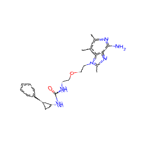 Cc1nc(N)c2nc(C)n(CCOCCNC(=O)N[C@@H]3C[C@H]3c3ccccc3)c2c1C